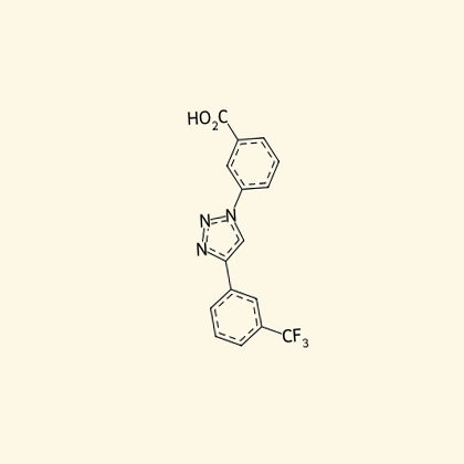 O=C(O)c1cccc(-n2cc(-c3cccc(C(F)(F)F)c3)nn2)c1